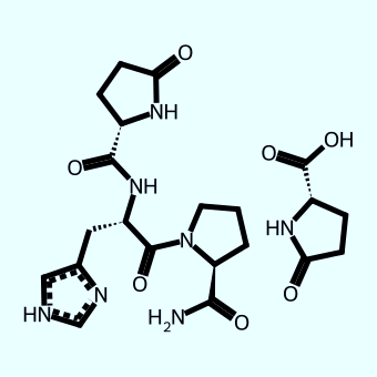 NC(=O)[C@@H]1CCCN1C(=O)[C@H](Cc1c[nH]cn1)NC(=O)[C@@H]1CCC(=O)N1.O=C1CC[C@@H](C(=O)O)N1